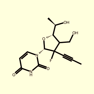 CC#CC1(F)C(CO)[C@@H]([C@@H](C)O)O[C@H]1n1ccc(=O)[nH]c1=O